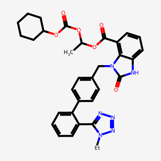 CCn1nnnc1-c1ccccc1-c1ccc(Cn2c(=O)[nH]c3cccc(C(=O)OC(C)OC(=O)OC4CCCCC4)c32)cc1